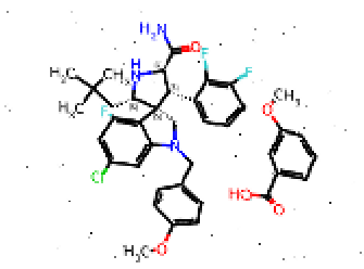 COc1ccc(CN2C[C@]3(c4c(F)cc(Cl)cc42)[C@H](CC(C)(C)C)N[C@@H](C(N)=O)[C@@H]3c2cccc(F)c2F)cc1.COc1cccc(C(=O)O)c1